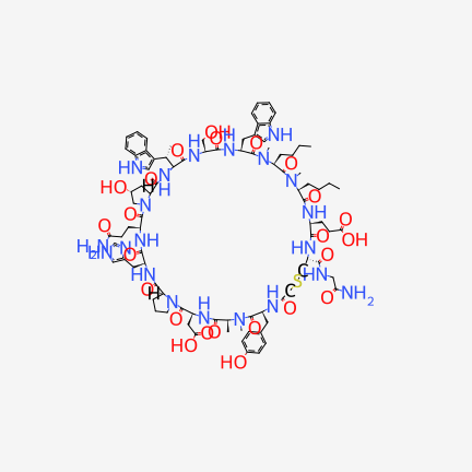 CCCC[C@H]1C(=O)N(C)[C@@H](CCCC)C(=O)N[C@@H](CCC(=O)O)C(=O)N[C@H](C(=O)NCC(N)=O)CSCC(=O)N[C@@H](Cc2ccc(O)cc2)C(=O)N(C)[C@@H](C)C(=O)N[C@@H](CC(=O)O)C(=O)N2CCC[C@H]2C(=O)N[C@@H](Cc2c[nH]cn2)C(=O)N[C@@H](CCC(N)=O)C(=O)N2C[C@H](O)C[C@H]2C(=O)N[C@@H]([C@@H](C)c2c[nH]c3ccccc23)C(=O)N[C@@H](CO)C(=O)N[C@@H](Cc2c[nH]c3ccccc23)C(=O)N1C